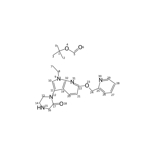 CC(C)(C)OC=O.CCn1cc(N2CCNCC2=O)c2ccc(OCc3ccccn3)nc21